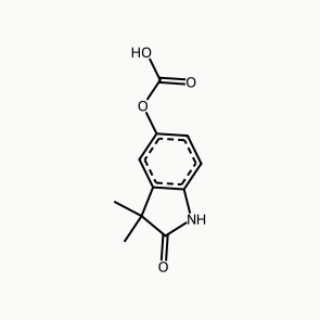 CC1(C)C(=O)Nc2ccc(OC(=O)O)cc21